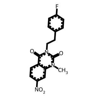 Cn1c(=O)n(CCc2ccc(F)cc2)c(=O)c2ccc([N+](=O)[O-])cc21